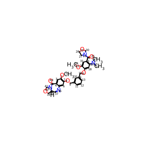 COc1cc2c(cc1OCc1cccc(COc3cc(N(C)C)c(C(=O)N4CCOC4)cc3OC)c1)N=C[C@@H]1COCN1C2=O